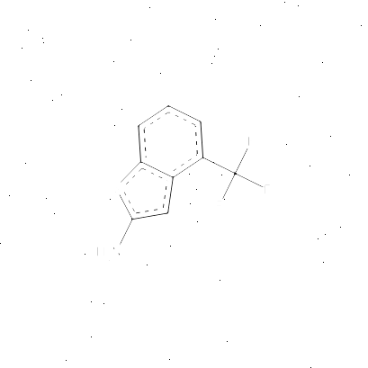 Nc1cc2c(C(F)(F)F)cccc2s1